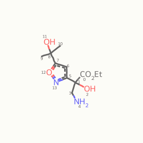 CCOC(=O)C(O)(CN)c1cc(C(C)(C)O)on1